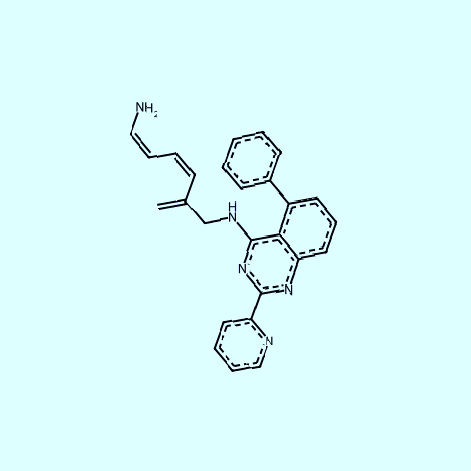 C=C(/C=C\C=C/N)CNc1nc(-c2ccccn2)nc2cccc(-c3ccccc3)c12